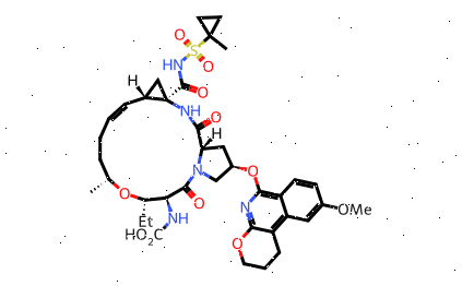 CC[C@@H]1O[C@H](C)CCC=C[C@@H]2C[C@@]2(C(=O)NS(=O)(=O)C2(C)CC2)NC(=O)[C@@H]2C[C@@H](Oc3nc4c(c5cc(OC)ccc35)CCCO4)CN2C(=O)[C@H]1NC(=O)O